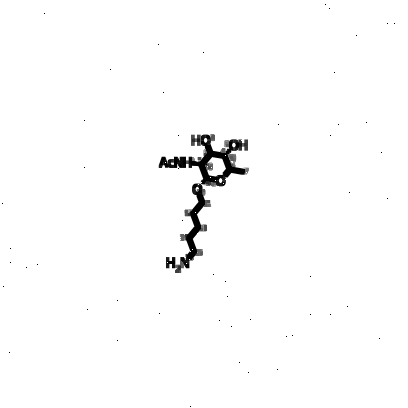 CC(=O)N[C@H]1C(O)[C@H](O)C(C)O[C@@H]1OCCCCCN